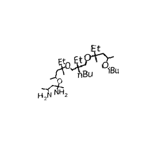 CCCCC(CC)(COC(C)(CC)CC(C)OC(C)CC)COC(C)(CC)CC(C)OC(C)(N)CC(C)N